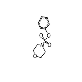 O=S(=O)(Oc1ccccc1)N1CCOCC1